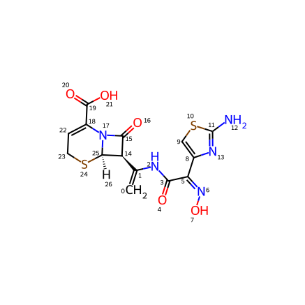 C=C(NC(=O)/C(=N\O)c1csc(N)n1)[C@@H]1C(=O)N2C(C(=O)O)=CCS[C@H]12